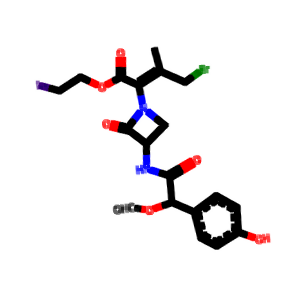 CC(CBr)=C(C(=O)OCCI)N1CC(NC(=O)C(OC=O)c2ccc(O)cc2)C1=O